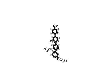 Cn1c2c(c3ccc(-n4ccc(-c5ccc(C(F)(F)F)cc5)cc4=O)cc31)CN(C(=O)O)CC2